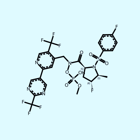 COP(=O)(O)ON(Cc1cc(-c2cnc(C(F)(F)F)nc2)ncc1C(F)(F)F)C(=O)[C@@H]1C[C@@H](F)[C@H](C)N1S(=O)(=O)c1ccc(F)cc1